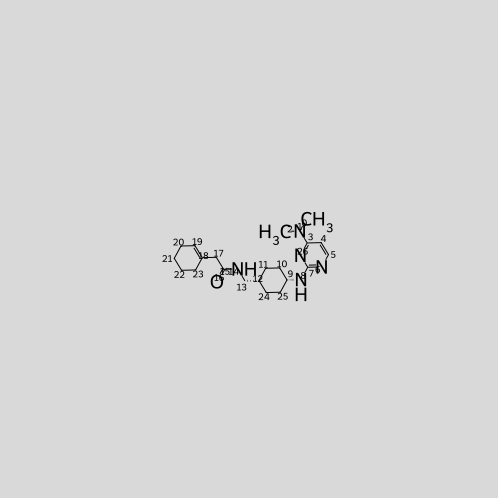 CN(C)c1ccnc(N[C@H]2CC[C@@H](CNC(=O)CC3=CCCCC3)CC2)n1